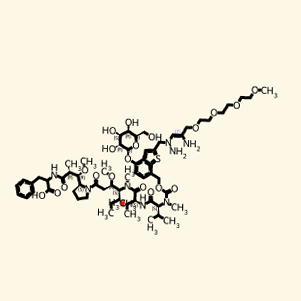 CCC(C)[C@@H]([C@@H](CC(=O)N1CCC[C@H]1[C@H](OC)[C@@H](C)C(=O)NC(Cc1ccccc1)C(=O)O)OC)N(C)C(=O)[C@@H](NC(=O)[C@H](C(C)C)N(C)C(=O)OCc1ccc(O[C@@H]2O[C@H](CO)[C@H](O)[C@H](O)[C@H]2O)c2cc(CN(N)/C=C(\N)COCCOCCOCCOC)sc12)C(C)C